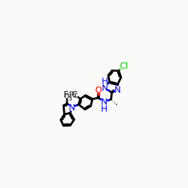 CCCc1cc2ccccc2n1-c1ccc(C(=O)N[C@@H](C)c2nc3cc(Cl)ccc3[nH]2)cc1C(F)(F)F